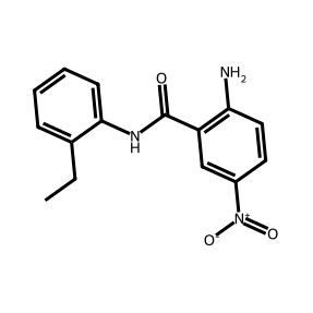 CCc1ccccc1NC(=O)c1cc([N+](=O)[O-])ccc1N